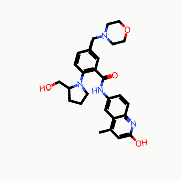 Cc1cc(O)nc2ccc(NC(=O)c3cc(CN4CCOCC4)ccc3N3CCCC3CO)cc12